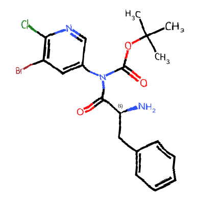 CC(C)(C)OC(=O)N(C(=O)[C@@H](N)Cc1ccccc1)c1cnc(Cl)c(Br)c1